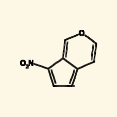 O=[N+]([O-])c1c[c]c2ccocc1-2